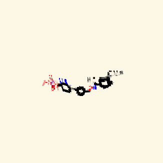 COc1cccc(C(C)=NOCc2ccc([C@H]3CC[C@](N)(COP(=O)(O)O)C3)cc2)c1